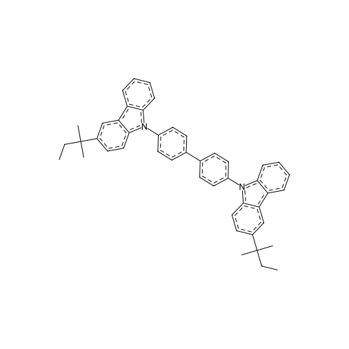 CCC(C)(C)c1ccc2c(c1)c1ccccc1n2-c1ccc(-c2ccc(-n3c4ccccc4c4cc(C(C)(C)CC)ccc43)cc2)cc1